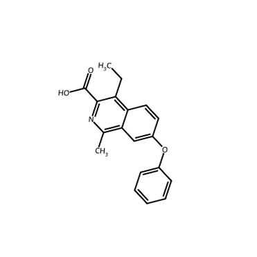 CCc1c(C(=O)O)nc(C)c2cc(Oc3ccccc3)ccc12